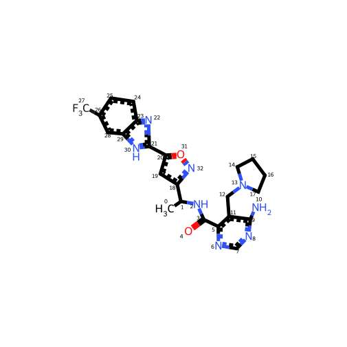 CC(NC(=O)c1ncnc(N)c1CN1CCCC1)c1cc(-c2nc3ccc(C(F)(F)F)cc3[nH]2)on1